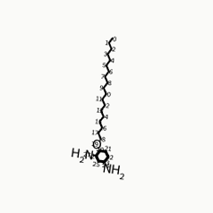 CCCCCCCCCCCCCCCCCCCOc1ccc(N)cc1N